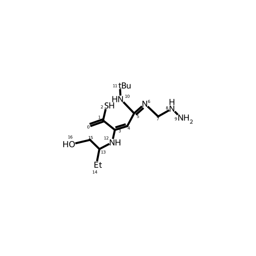 C=C(S)/C(=C\C(=N/CNN)NC(C)(C)C)NC(CC)CO